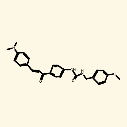 COc1ccc(CNC(=O)Nc2ccc(C(=O)/C=C/c3ccc(N(C)C)cc3)cc2)cc1